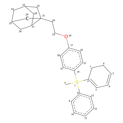 CS(C1=CC=CCC1)(c1ccccc1)c1ccc(OCCC23CC4CC(CC2C4)C3)cc1